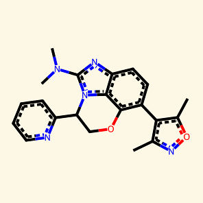 Cc1noc(C)c1-c1ccc2nc(N(C)C)n3c2c1OCC3c1ccccn1